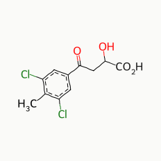 Cc1c(Cl)cc(C(=O)CC(O)C(=O)O)cc1Cl